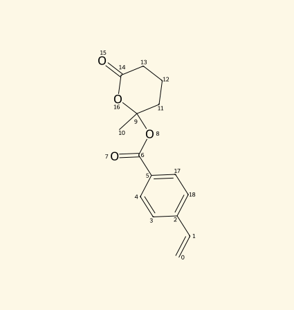 C=Cc1ccc(C(=O)OC2(C)CCCC(=O)O2)cc1